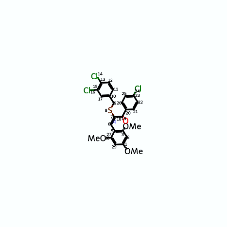 COc1cc(OC)c(/C=C(/SCc2ccc(Cl)c(Cl)c2)C(=O)c2ccc(Cl)cc2)c(OC)c1